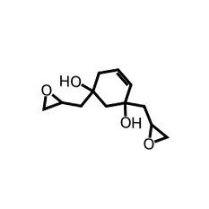 OC1(CC2CO2)C=CCC(O)(CC2CO2)C1